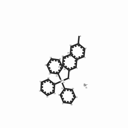 Cc1ccc2cc(C[P+](c3ccccc3)(c3ccccc3)c3ccccc3)ccc2c1.[Br-]